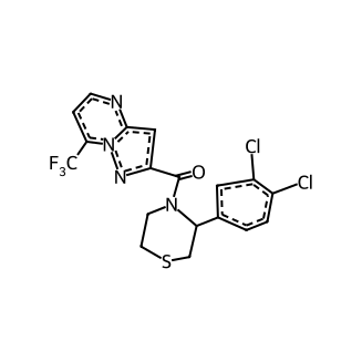 O=C(c1cc2nccc(C(F)(F)F)n2n1)N1CCSCC1c1ccc(Cl)c(Cl)c1